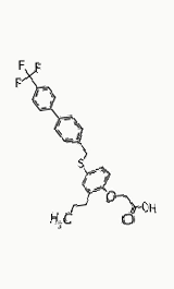 CCCc1cc(SCc2ccc(-c3ccc(C(F)(F)F)cc3)cc2)ccc1OCC(=O)O